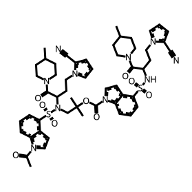 CC(=O)n1ccc2c(S(=O)(=O)N(CC(C)(C)OC(=O)n3ccc4c(S(=O)(=O)NC(CCn5cccc5C#N)C(=O)N5CCC(C)CC5)cccc43)C(CCn3cccc3C#N)C(=O)N3CCC(C)CC3)cccc21